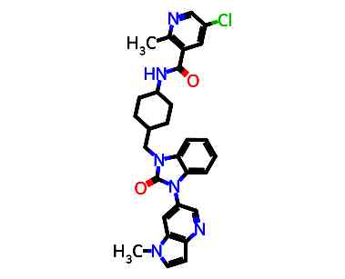 Cc1ncc(Cl)cc1C(=O)NC1CCC(Cn2c(=O)n(-c3cnc4ccn(C)c4c3)c3ccccc32)CC1